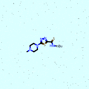 CCCCNC(=S)c1nnc(N2CCN(C)CC2)s1